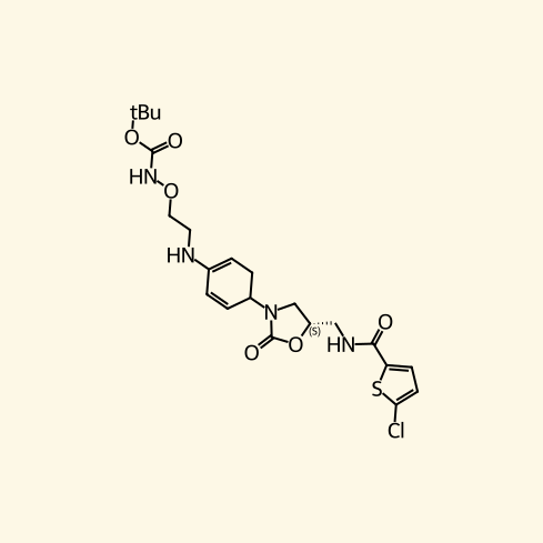 CC(C)(C)OC(=O)NOCCNC1=CCC(N2C[C@H](CNC(=O)c3ccc(Cl)s3)OC2=O)C=C1